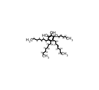 CCCCCCCc1c(O)c(O)c(OCCCCC)c(CCCCCCC)c1CCCCCCC